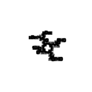 CCCCCCCCCCCCN(CCCCCCCCCCCC)C(=O)CN1CCN(CCC(C)(C)OC=O)CCN(CCC(C)(C)OC=O)CCN(CC(=O)OC(C)(C)C)CC1